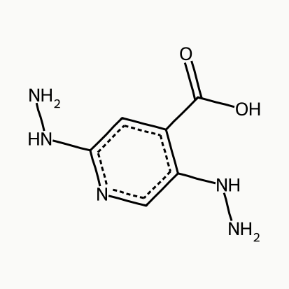 NNc1cc(C(=O)O)c(NN)cn1